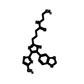 CCCNC(=O)CCCc1nc(-c2nc(C)cs2)c(-c2ccc3c(c2)OCO3)[nH]1